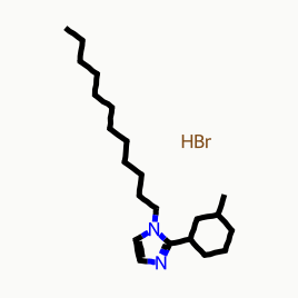 Br.CCCCCCCCCCCCn1ccnc1C1CCCC(C)C1